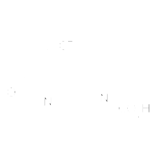 O=C(O)N1CCc2c(n3c4c(ccc(C(F)(F)F)c24)OCC3)CC1